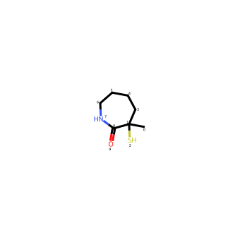 CC1(S)CCCCNC1=O